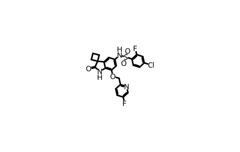 O=C1Nc2c(OCc3ccc(F)cn3)cc(NS(=O)(=O)c3ccc(Cl)cc3F)cc2C12CCC2